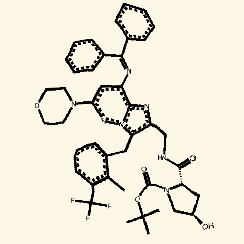 Cc1c(Cc2c(CNC(=O)[C@@H]3C[C@@H](O)CN3C(=O)OC(C)(C)C)nc3c(N=C(c4ccccc4)c4ccccc4)cc(N4CCOCC4)nn23)cccc1C(F)(F)F